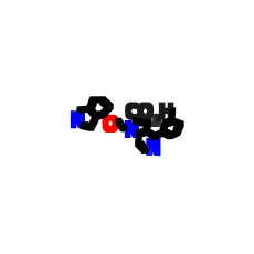 Cc1cccc(-c2nccc3c2cc(C(=O)O)n3CCOc2cccc3cnccc23)c1